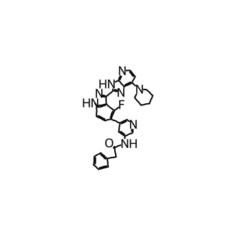 O=C(Cc1ccccc1)Nc1cncc(-c2ccc3[nH]nc(-c4nc5c(N6CCCCC6)ccnc5[nH]4)c3c2F)c1